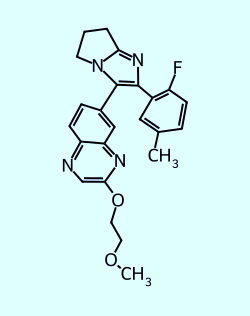 COCCOc1cnc2ccc(-c3c(-c4cc(C)ccc4F)nc4n3CCC4)cc2n1